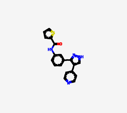 O=C(Nc1cccc(-c2n[nH]cc2-c2ccncc2)c1)c1cccs1